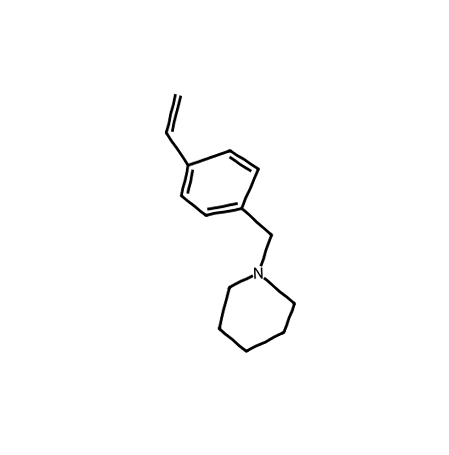 C=Cc1ccc(CN2CCCCC2)cc1